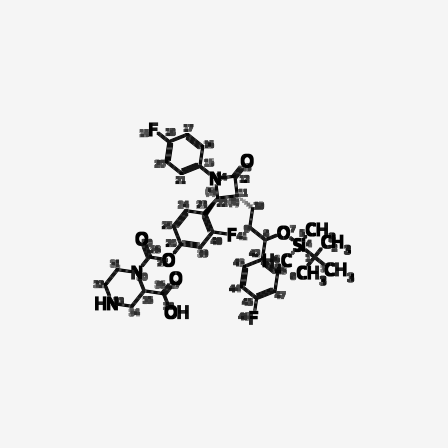 CC(C)(C)[Si](C)(C)OC(CC[C@H]1C(=O)N(c2ccc(F)cc2)[C@@H]1c1ccc(OC(=O)N2CCNCC2C(=O)O)cc1F)c1ccc(F)cc1